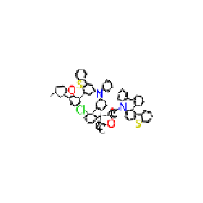 CC1C=Cc2oc3c(-c4cc(N(c5ccccc5)c5ccc6c(c5)-c5c(Cl)cccc5C65c6ccccc6Oc6cc(N7c8ccccc8-c8ccccc8-c8c7ccc7sc9ccccc9c87)ccc65)cc5c4sc4ccccc45)cccc3c2C1